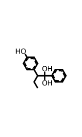 CCC(c1ccc(O)cc1)C(O)(O)c1ccccc1